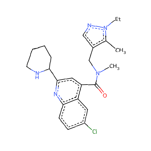 CCn1ncc(CN(C)C(=O)c2cc(C3CCCCN3)nc3ccc(Cl)cc23)c1C